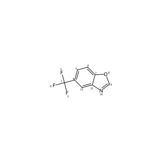 FC(F)(F)c1ccc2o[c]nc2c1